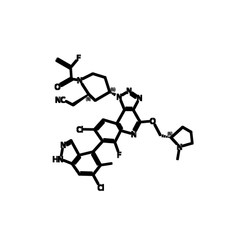 C=C(F)C(=O)N1CC[C@H](n2nnc3c(OC[C@@H]4CCCN4C)nc4c(F)c(-c5c(C)c(Cl)cc6[nH]ncc56)c(Cl)cc4c32)C[C@H]1CC#N